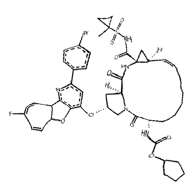 CC(C)c1ccc(-c2cc(O[C@@H]3C[C@H]4C(=O)N[C@]5(C(=O)NS(=O)(=O)C6(C)CC6)C[C@H]5/C=C\CCCCC[C@H](NC(=O)OC5CCCC5)C(=O)N4C3)c3c(n2)C2C=C(F)C=CC2O3)cc1